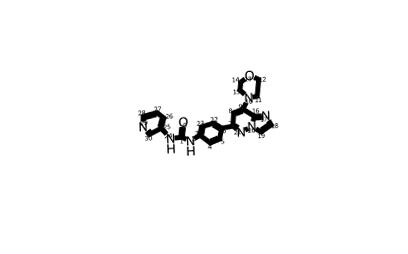 O=C(Nc1ccc(-c2cc(N3CCOCC3)c3nccn3n2)cc1)Nc1cccnc1